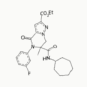 CCOC(=O)c1cc2n(n1)CC(C)(C(=O)NC1CCCCCC1)N(c1cccc(F)c1)C2=O